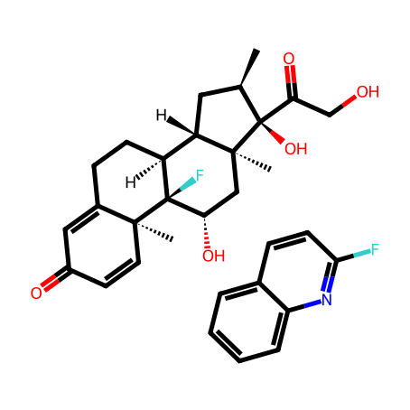 C[C@@H]1C[C@H]2[C@@H]3CCC4=CC(=O)C=C[C@]4(C)[C@@]3(F)[C@@H](O)C[C@]2(C)[C@@]1(O)C(=O)CO.Fc1ccc2ccccc2n1